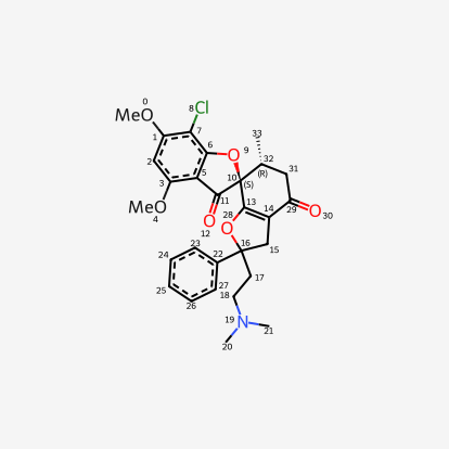 COc1cc(OC)c2c(c1Cl)O[C@]1(C2=O)C2=C(CC(CCN(C)C)(c3ccccc3)O2)C(=O)C[C@H]1C